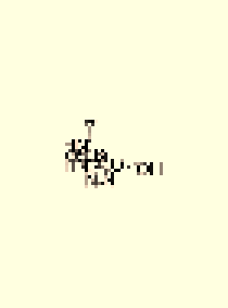 O=S(=O)(NCC1CC1)Nc1ncnc(OCCO)c1Br